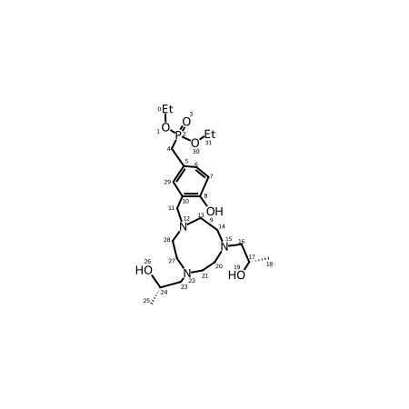 CCOP(=O)(Cc1ccc(O)c(CN2CCN(C[C@H](C)O)CCN(C[C@H](C)O)CC2)c1)OCC